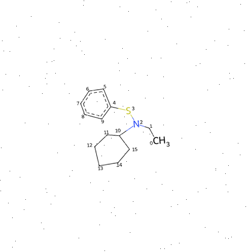 CCN(Sc1ccccc1)C1CCCCC1